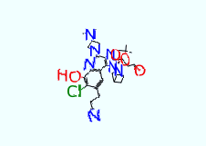 CN(C)C1CN(c2nc3c(O)c(Cl)c(CCC#N)cc3c3c2nc(CCC=O)n3C2C3CC2N(C(=O)OC(C)(C)C)C3)C1